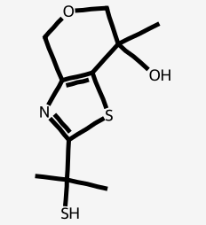 CC(C)(S)c1nc2c(s1)C(C)(O)COC2